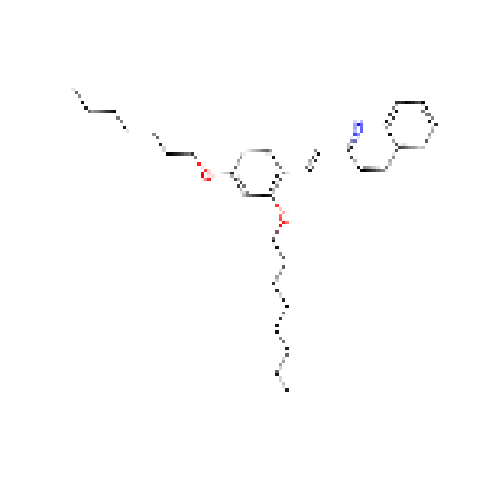 CCCCCCCCOc1ccc(/C=C/c2ccc3ccccc3n2)c(OCCCCCCCC)c1